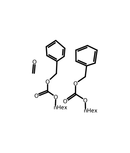 C=O.CCCCCCOC(=O)OCc1ccccc1.CCCCCCOC(=O)OCc1ccccc1